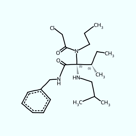 CCCN(C(=O)CCl)[C@](NCC(C)C)(C(=O)NCc1ccccc1)[C@@H](C)CC